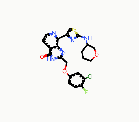 O=c1[nH]c(COc2ccc(F)c(Cl)c2)nc2c(-c3csc(NC4CCCOC4)n3)nccc12